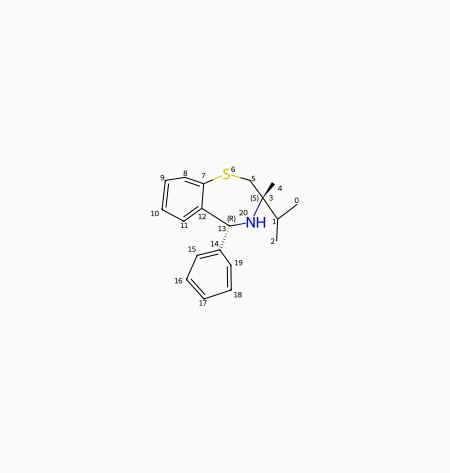 CC(C)[C@@]1(C)CSc2ccccc2[C@@H](c2ccccc2)N1